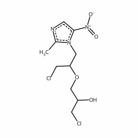 Cc1ncc([N+](=O)[O-])n1CC(CCl)OCC(O)CCl